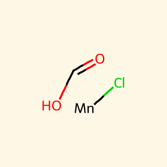 O=CO.[Cl][Mn]